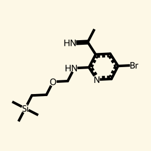 CC(=N)c1cc(Br)cnc1NCOCC[Si](C)(C)C